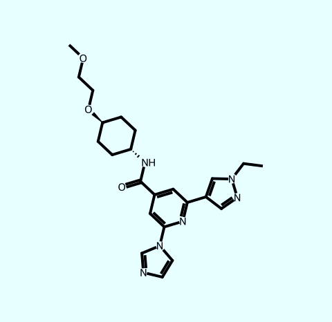 CCn1cc(-c2cc(C(=O)N[C@H]3CC[C@H](OCCOC)CC3)cc(-n3ccnc3)n2)cn1